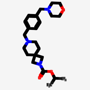 O=C(OC(C(F)(F)F)C(F)(F)F)N1CC2(CCN(Cc3ccc(CN4CCOCC4)cc3)CC2)C1